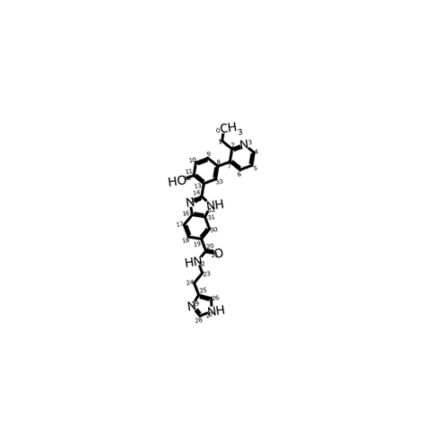 CCc1ncccc1-c1ccc(O)c(-c2nc3ccc(C(=O)NCCc4c[nH]cn4)cc3[nH]2)c1